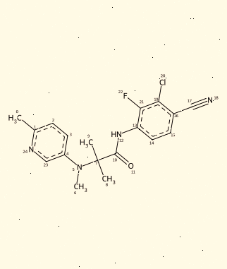 Cc1ccc(N(C)C(C)(C)C(=O)Nc2ccc(C#N)c(Cl)c2F)cn1